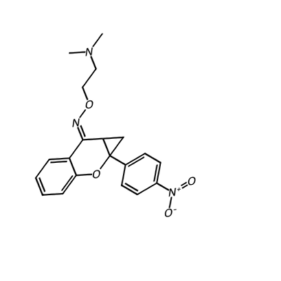 CN(C)CCON=C1c2ccccc2OC2(c3ccc([N+](=O)[O-])cc3)CC12